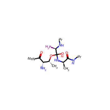 CNC(=O)[C@@H](N)[C@@H](C)OC(O)(N[C@H](C)C(=O)NC(C)C)[C@@H](P)NC(C)C